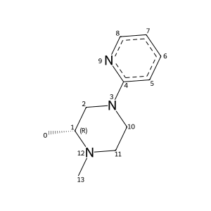 C[C@@H]1CN(c2ccccn2)CCN1C